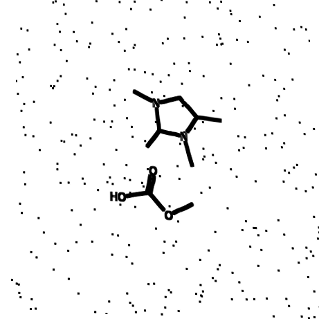 CC1CN(C)C(C)N1C.COC(=O)O